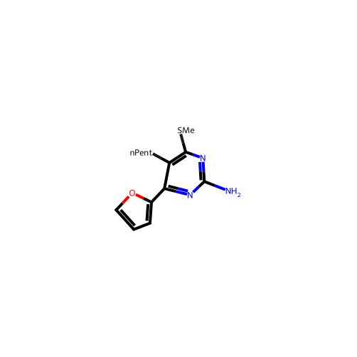 CCCCCc1c(SC)nc(N)nc1-c1ccco1